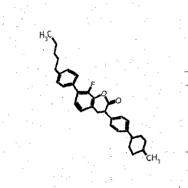 CCCCCc1ccc(-c2ccc3c(c2F)OC(=O)C(c2ccc(C4CCC(C)CC4)cc2)C3)cc1